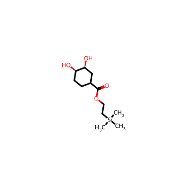 C[Si](C)(C)CCOC(=O)C1CC[C@@H](O)[C@@H](O)C1